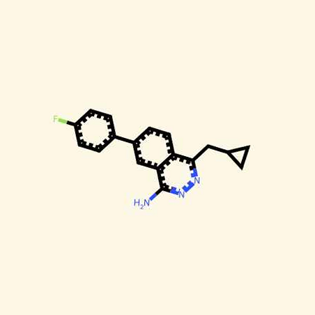 Nc1nnc(CC2CC2)c2ccc(-c3ccc(F)cc3)cc12